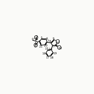 CS(=O)(=O)c1ccc(C2=COC(=O)C2c2ccccc2)cc1